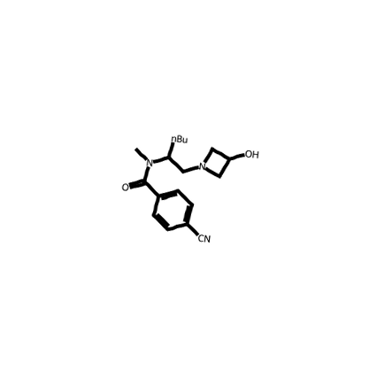 CCCCC(CN1CC(O)C1)N(C)C(=O)c1ccc(C#N)cc1